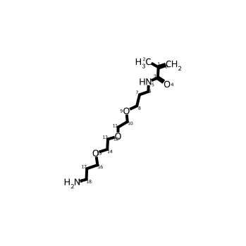 C=C(C)C(=O)NCCCOCCOCCOCCCN